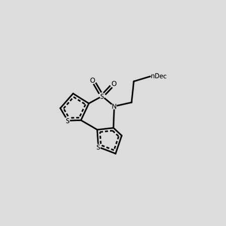 CCCCCCCCCCCCN1c2ccsc2-c2sccc2S1(=O)=O